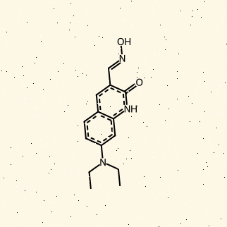 CCN(CC)c1ccc2cc(C=NO)c(=O)[nH]c2c1